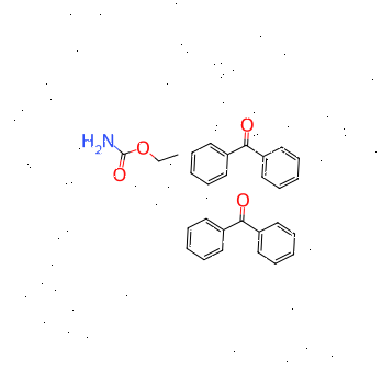 CCOC(N)=O.O=C(c1ccccc1)c1ccccc1.O=C(c1ccccc1)c1ccccc1